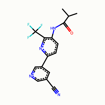 CC(C)C(=O)Nc1ccc(-c2cncc(C#N)c2)nc1C(F)(F)F